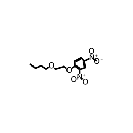 CCCCOCCOc1ccc([N+](=O)[O-])cc1[N+](=O)[O-]